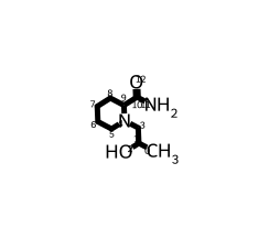 CC(O)CN1CCCCC1C(N)=O